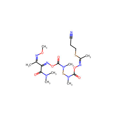 CON=C(C)C(=NOC(=O)N(C)SN(C)C(=O)ON=C(C)SCCC#N)C(=O)N(C)C